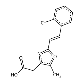 Cc1oc(/C=C/c2ccccc2Cl)nc1CC(=O)O